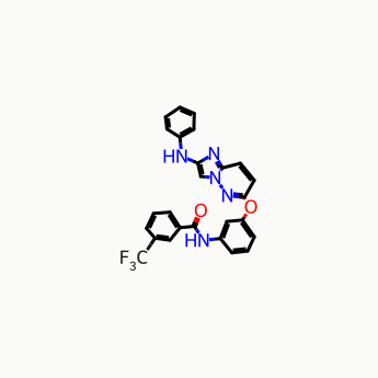 O=C(Nc1cccc(Oc2ccc3nc(Nc4ccccc4)cn3n2)c1)c1cccc(C(F)(F)F)c1